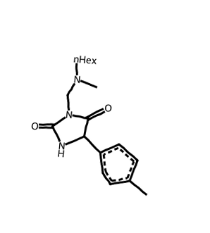 CCCCCCN(C)CN1C(=O)NC(c2ccc(C)cc2)C1=O